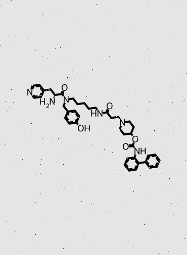 N[C@H](Cc1ccncc1)C(=O)N(CCCCCNC(=O)CCN1CCC(OC(=O)Nc2ccccc2-c2ccccc2)CC1)Cc1ccc(O)cc1